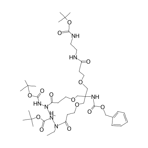 CCN(NC(=O)OC(C)(C)C)C(=O)CCOCC(COCCC(=O)NCCNC(=O)OC(C)(C)C)(COCCC(=O)N(CC)NC(=O)OC(C)(C)C)NC(=O)OCc1ccccc1